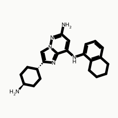 Nc1cc(Nc2cccc3c2CCCC3)c2nc([C@H]3CC[C@H](N)CC3)cn2n1